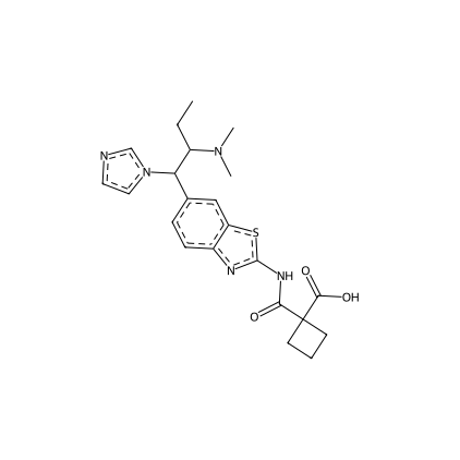 CCC(C(c1ccc2nc(NC(=O)C3(C(=O)O)CCC3)sc2c1)n1ccnc1)N(C)C